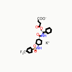 O=C([O-])CCC(=O)OC[C@@H](NC(=O)[C@H]1CC[C@H](NS(=O)(=O)c2ccc(C(F)(F)F)cc2)CC1)c1ccccc1.[K+]